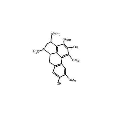 CCCCCc1c(O)c(OC)c2c3c1C(CCCCC)CN(C)C3Cc1cc(O)c(OC)cc1-2